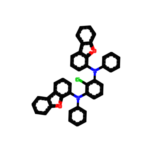 Clc1c(N(c2ccccc2)c2cccc3c2oc2ccccc23)cccc1N(c1ccccc1)c1cccc2c1oc1ccccc12